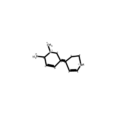 CN1CC(=C2C=CNCC2)C=CC1N